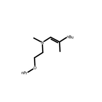 CCCC/C(C)=C/N(C)CCOCCC